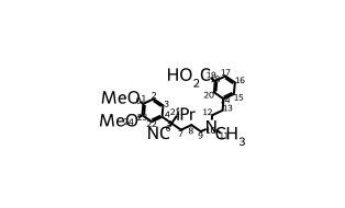 COc1ccc(C(C#N)(CCCN(C)CCc2cccc(C(=O)O)c2)C(C)C)cc1OC